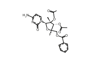 CC(=O)O[C@H]1[C@@](C)(OC(C)=O)[C@H](n2ccc(N)nc2=O)O[C@@]1(F)COC(=O)c1ccccc1